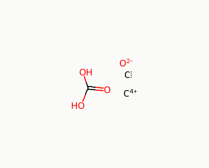 O=C(O)O.[C+4].[C].[O-2]